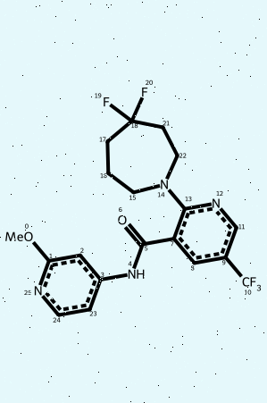 COc1cc(NC(=O)c2cc(C(F)(F)F)cnc2N2CCCC(F)(F)CC2)ccn1